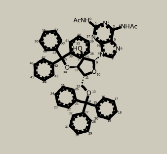 CC(=O)Nc1nc(NC(C)=O)c2ncn([C@@H]3O[C@H](COC(c4ccccc4)(c4ccccc4)c4ccccc4)[C@@H](OC(c4ccccc4)(c4ccccc4)c4ccccc4)[C@H]3O)c2n1